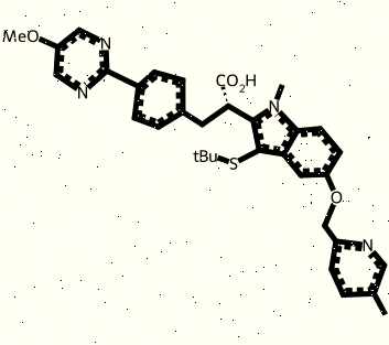 COc1cnc(-c2ccc(C[C@H](C(=O)O)c3c(SC(C)(C)C)c4cc(OCc5ccc(C)cn5)ccc4n3C)cc2)nc1